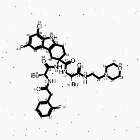 CCC(C)[C@H](NC(=O)Cc1ccccc1F)C(=O)N[C@]1(C(=O)NC(C(=O)NCCN2CCOCC2)[C@@H](C)CC)CCc2[nH]c3c(Cl)cc(F)cc3c2C1